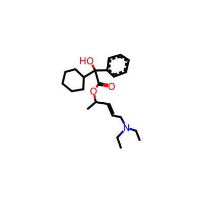 CCN(CC)CC=CC(C)OC(=O)C(O)(c1ccccc1)C1CCCCC1